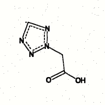 O=C(O)Cn1n[c]nn1